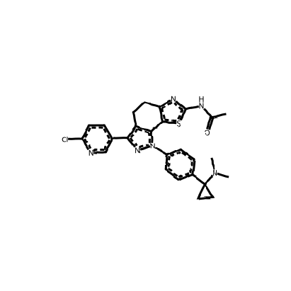 CC(=O)Nc1nc2c(s1)-c1c(c(-c3ccc(Cl)nc3)nn1-c1ccc(C3(N(C)C)CC3)cc1)CC2